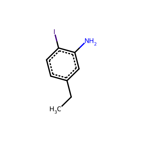 CCc1ccc(I)c(N)c1